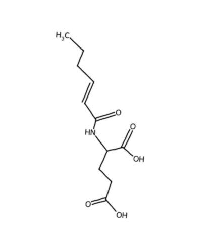 CCC/C=C/C(=O)NC(CCC(=O)O)C(=O)O